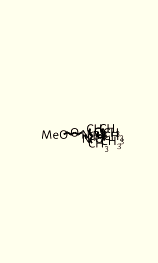 COCCOCCn1nc(C)c(B2OC(C)(C)C(C)(C)O2)c1C